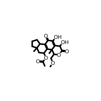 COCC1OC(=O)C(O)C2=C(O)C(=O)C3=C(C(OC(C)=O)CC4(C)CCCC34)C21C